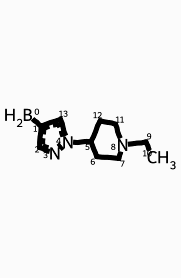 Bc1cnn(C2CCN(CC)CC2)c1